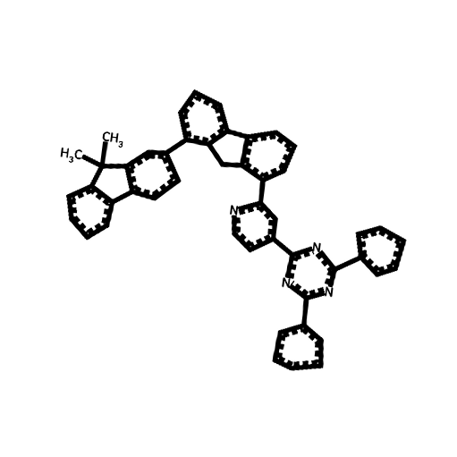 CC1(C)c2ccccc2-c2ccc(-c3cccc4c3Cc3c(-c5cc(-c6nc(-c7ccccc7)nc(-c7ccccc7)n6)ccn5)cccc3-4)cc21